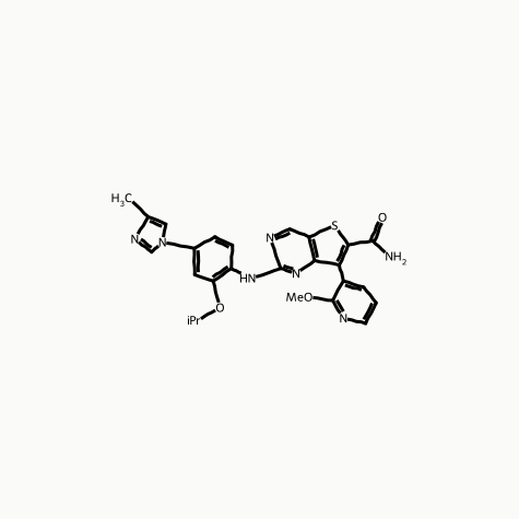 COc1ncccc1-c1c(C(N)=O)sc2cnc(Nc3ccc(-n4cnc(C)c4)cc3OC(C)C)nc12